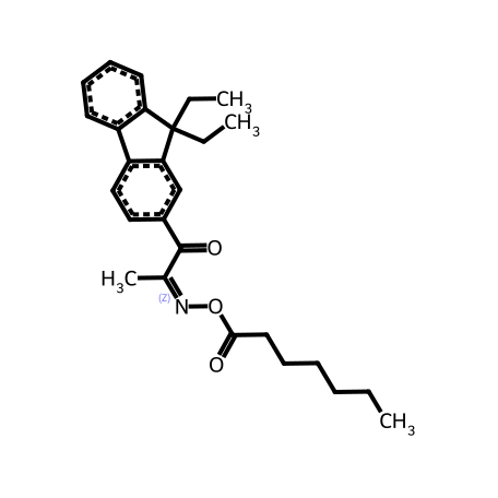 CCCCCCC(=O)O/N=C(/C)C(=O)c1ccc2c(c1)C(CC)(CC)c1ccccc1-2